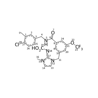 Cc1cc(CNC(=O)c2cc(Cn3ccn(C)c3=NC(=O)O)cc(OC(F)(F)F)c2)ccc1Cl